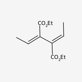 CC=C(C(=O)OCC)C(=CC)C(=O)OCC